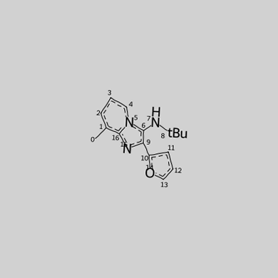 Cc1cccn2c(NC(C)(C)C)c(-c3ccco3)nc12